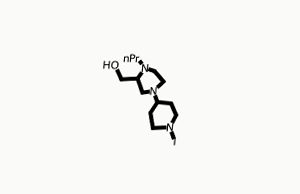 CCCN1CCN(C2CCN(I)CC2)CC1CO